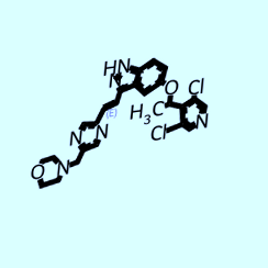 CC(Oc1ccc2[nH]nc(/C=C/c3cnc(CN4CCOCC4)cn3)c2c1)c1c(Cl)cncc1Cl